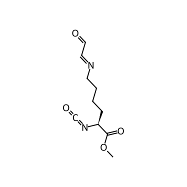 COC(=O)[C@H](CCCCN=CC=O)N=C=O